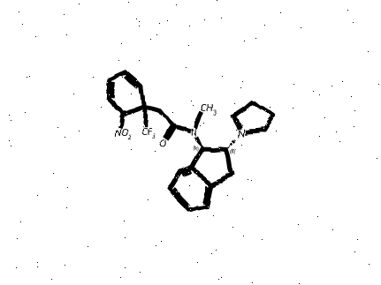 CN(C(=O)CC1(C(F)(F)F)C=CC=CC1[N+](=O)[O-])[C@@H]1c2ccccc2C[C@H]1N1CCCC1